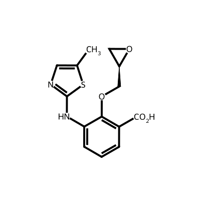 Cc1cnc(Nc2cccc(C(=O)O)c2OC[C@H]2CO2)s1